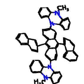 CN1c2ccccc2N(c2ccc3c(-c4cccc5ccccc45)c4cc(N5c6ccccc6N(C)c6ccccc65)ccc4c(-c4ccc5ccccc5c4)c3c2)c2ccccc21